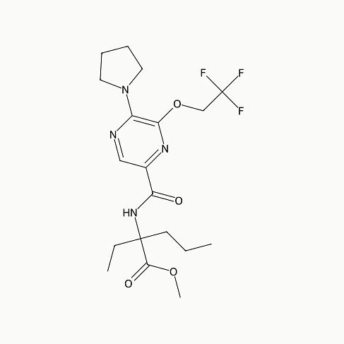 CCCC(CC)(NC(=O)c1cnc(N2CCCC2)c(OCC(F)(F)F)n1)C(=O)OC